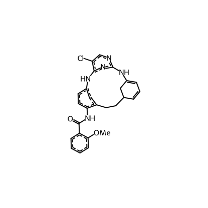 COc1ccccc1C(=O)Nc1ccc2cc1CCC1C=CC=C(C1)Nc1ncc(Cl)c(n1)N2